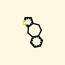 [C]1c2ccccc2CCc2ccsc21